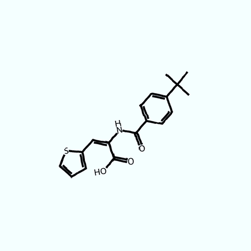 CC(C)(C)c1ccc(C(=O)NC(=Cc2cccs2)C(=O)O)cc1